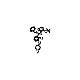 CC1(Oc2ncnc3c2nc(-c2cccc(OC4CCNCC4)c2Cl)n3Cc2ccccc2)CC1